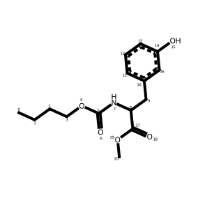 CCCCOC(=O)NC(Cc1cccc(O)c1)C(=O)OC